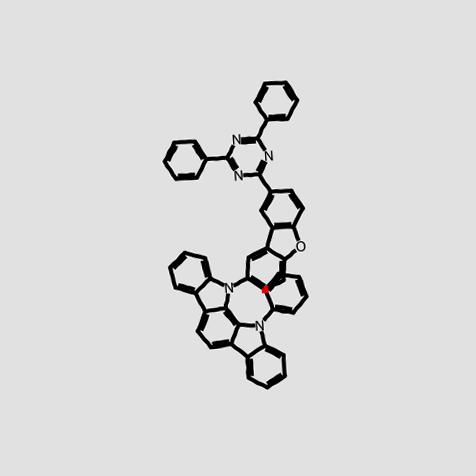 c1ccc(-c2nc(-c3ccccc3)nc(-c3ccc4oc5ccc(-n6c7ccccc7c7ccc8c9ccccc9n(-c9ccccc9)c8c76)cc5c4c3)n2)cc1